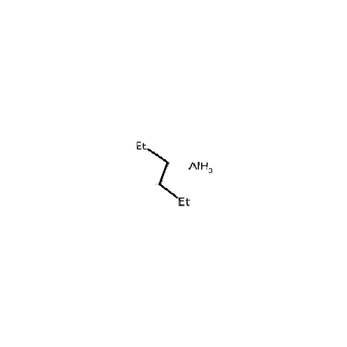 CC[CH]CCC.[AlH3]